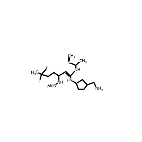 C=NC(C)N/C(=C/C(CCC(C)(F)F)NNC)NC1CCC(CN)C1